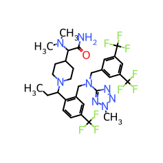 CCC(c1ccc(C(F)(F)F)cc1CN(Cc1cc(C(F)(F)F)cc(C(F)(F)F)c1)c1nnn(C)n1)N1CCC(C(C(N)=O)N(C)C)CC1